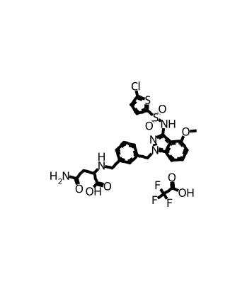 COc1cccc2c1c(NS(=O)(=O)c1ccc(Cl)s1)nn2Cc1cccc(CNC(CC(N)=O)C(=O)O)c1.O=C(O)C(F)(F)F